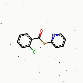 O=C(Sc1ccccn1)c1ccccc1Cl